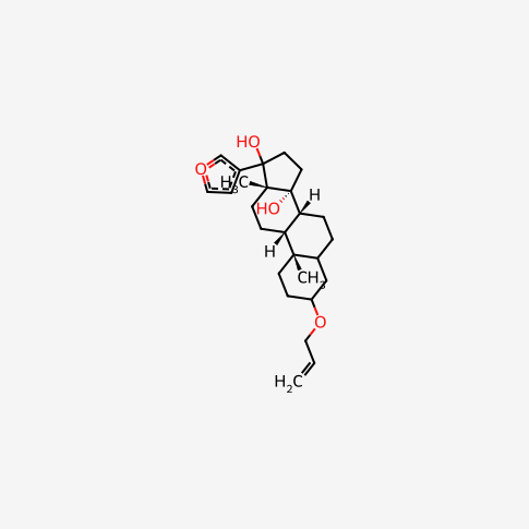 C=CCOC1CC[C@@]2(C)C(CC[C@@H]3[C@H]2CC[C@]2(C)C(O)(c4ccoc4)CC[C@@]32O)C1